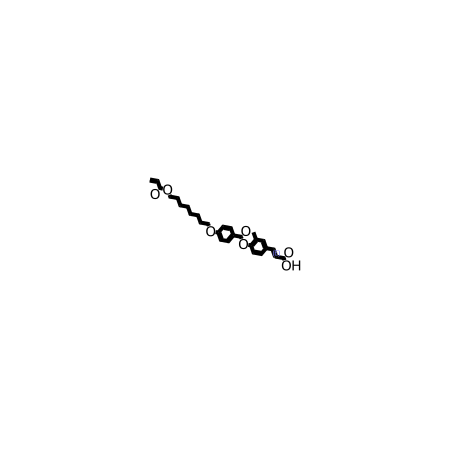 C=CC(=O)OCCCCCCCCOc1ccc(C(=O)Oc2ccc(/C=C/C(=O)O)cc2C)cc1